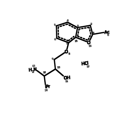 CC(=O)c1cc2cccc(OCC(O)C(N)C(C)C)c2o1.Cl